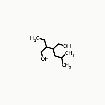 CCC(CO)C(CO)CC(C)C